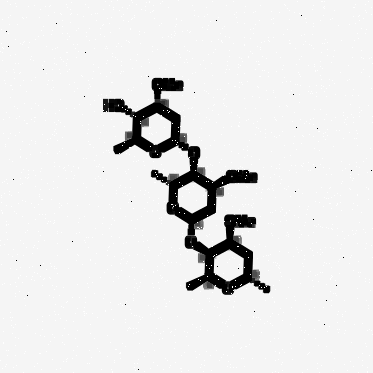 CO[C@H]1C[C@H](C)O[C@@H](C)[C@H]1O[C@H]1C[C@H](OC)[C@H](O[C@H]2C[C@@H](OC)[C@@H](O)[C@H](C)O2)[C@@H](C)O1